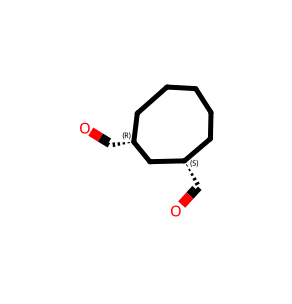 O=C[C@@H]1CCCCC[C@H](C=O)C1